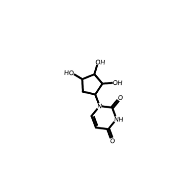 O=c1ccn(C2CC(O)C(O)C2O)c(=O)[nH]1